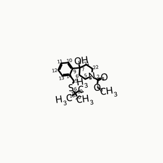 COC(=O)N1CCC(O)(c2ccccc2CSC(C)(C)C)CC1